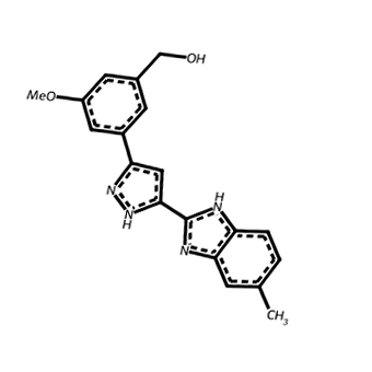 COc1cc(CO)cc(-c2cc(-c3nc4cc(C)ccc4[nH]3)[nH]n2)c1